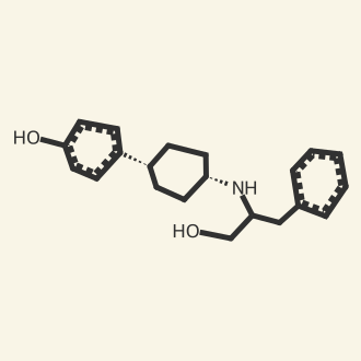 OCC(Cc1ccccc1)N[C@H]1CC[C@@H](c2ccc(O)cc2)CC1